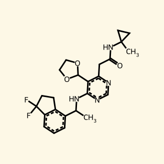 CC(Nc1ncnc(CC(=O)NC2(C)CC2)c1C1OCCO1)c1cccc2c1CCC2(F)F